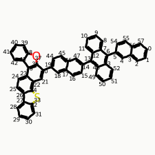 c1ccc2cc(-c3c4ccccc4c(-c4ccc5cc(-c6cc7c(ccc8c9ccccc9sc87)c7c6oc6ccccc67)ccc5c4)c4ccccc34)ccc2c1